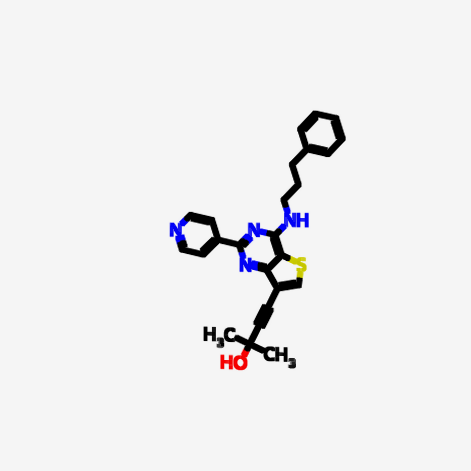 CC(C)(O)C#Cc1csc2c(NCCCc3ccccc3)nc(-c3ccncc3)nc12